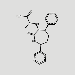 C[C@H](N[C@@H]1C(=O)N[C@H](c2ccccc2)CC[C@@H]1c1ccccc1)C(N)=O